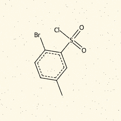 Cc1ccc(Br)c(S(=O)(=O)Cl)c1